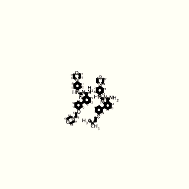 CN(C)CCOc1cccc(-c2cccc3c(N)nc(Nc4ccc(N5CCOCC5)cc4)nc23)c1.Nc1nc(Nc2ccc(N3CCOCC3)cc2)nc2c(-c3cccc(OCCN4CCOCC4)c3)cccc12